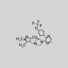 Cc1nn(C)c(C)c1CN1CCN(c2nccnc2-c2ccc(OC(F)(F)F)cc2)CC1